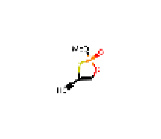 C#CC1=COP(=O)(OC)S1